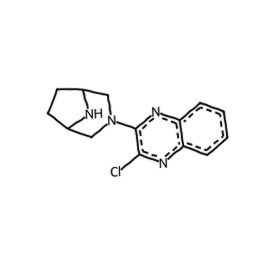 Clc1nc2ccccc2nc1N1CC2CCC(C1)N2